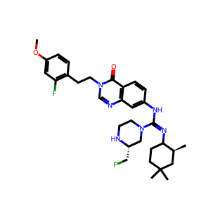 COc1ccc(CCn2cnc3cc(N/C(=N/C4CCC(C)(C)C[C@@H]4C)N4CCN[C@@H](CF)C4)ccc3c2=O)c(F)c1